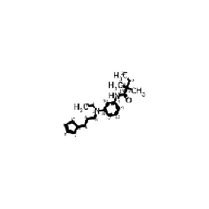 CCN(CCCC1C=C=CC1)c1cccc(NC(=O)C(C)(C)CC)c1